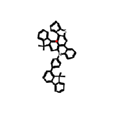 CC1(C)c2ccccc2-c2ccc(N(c3ccc(-c4cccc5c4C(C)(C)c4ccccc4-5)cc3)c3ccccc3-c3ccc4c(c3)sc3ccccc34)cc21